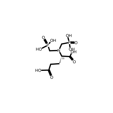 O=C(O)CC[C@@H](C(=O)O)N(CP(=O)(O)O)CP(=O)(O)O